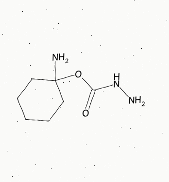 NNC(=O)OC1(N)CCCCC1